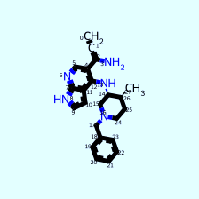 C=C=C(N)c1cnc2[nH]ccc2c1N[C@H]1CN(Cc2ccccc2)CC[C@H]1C